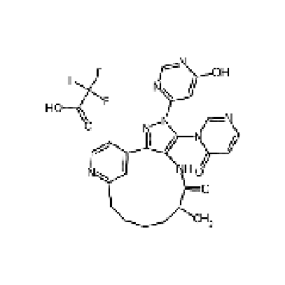 CC1CCCCc2cc(ccn2)-c2nn(-c3cc(O)ncn3)c(-n3cnccc3=O)c2NC1=O.O=C(O)C(F)(F)F